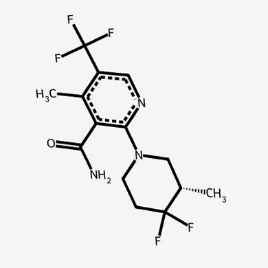 Cc1c(C(F)(F)F)cnc(N2CCC(F)(F)[C@@H](C)C2)c1C(N)=O